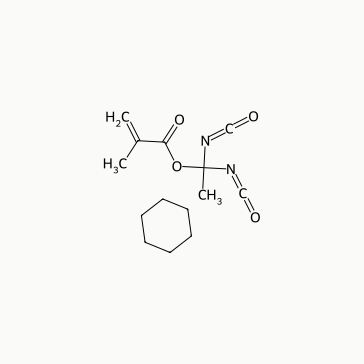 C1CCCCC1.C=C(C)C(=O)OC(C)(N=C=O)N=C=O